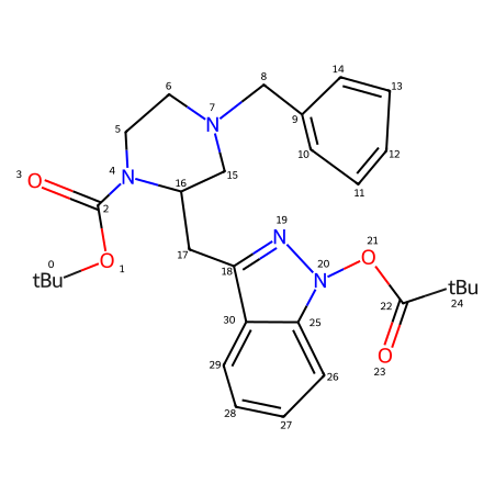 CC(C)(C)OC(=O)N1CCN(Cc2ccccc2)CC1Cc1nn(OC(=O)C(C)(C)C)c2ccccc12